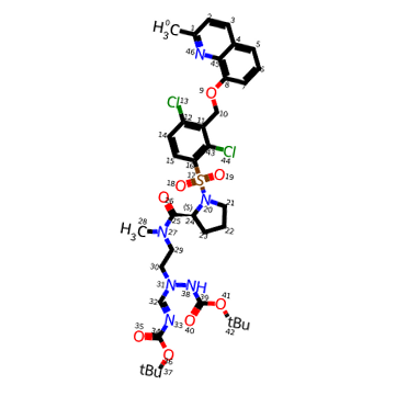 Cc1ccc2cccc(OCc3c(Cl)ccc(S(=O)(=O)N4CCC[C@H]4C(=O)N(C)CCN(C=NC(=O)OC(C)(C)C)NC(=O)OC(C)(C)C)c3Cl)c2n1